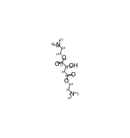 CN(C)CCOC(=O)CC(O)C(=O)OCCN(C)C